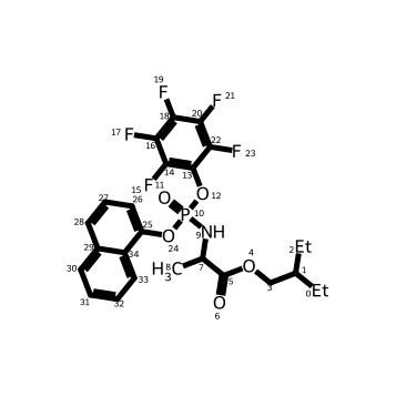 CCC(CC)COC(=O)C(C)NP(=O)(Oc1c(F)c(F)c(F)c(F)c1F)Oc1cccc2ccccc12